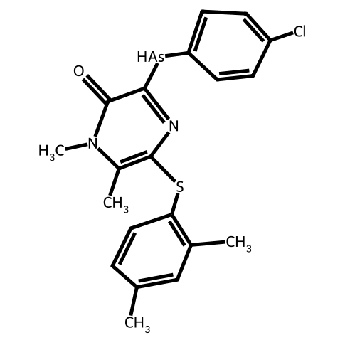 Cc1ccc(Sc2nc([AsH]c3ccc(Cl)cc3)c(=O)n(C)c2C)c(C)c1